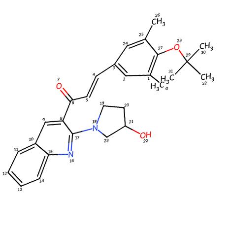 Cc1cc(/C=C/C(=O)c2cc3ccccc3nc2N2CCC(O)C2)cc(C)c1OC(C)(C)C